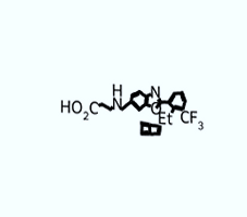 CCc1c(-c2nc3ccc(CNCCC(=O)O)cc3o2)cccc1C(F)(F)F.c1cc2ccc1-2